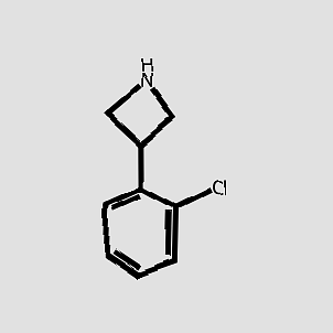 Clc1ccccc1C1CNC1